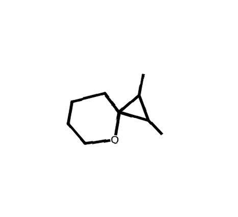 CC1C(C)C12CCCCO2